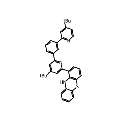 CC(C)(C)c1ccnc(-c2cccc(-c3cc(C(C)(C)C)cc(-c4cccc5c4Nc4ccccc4S5)n3)c2)c1